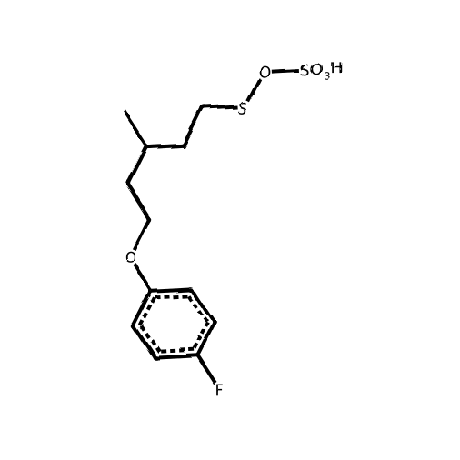 CC(CCOc1ccc(F)cc1)CCSOS(=O)(=O)O